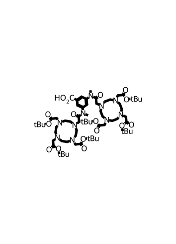 CN(C(=O)CN1CCN(CC(=O)OC(C)(C)C)CCN(CC(=O)OC(C)(C)C)CCN(CC(=O)OC(C)(C)C)CC1)c1cc(C(=O)O)cc(N(C)C(=O)CN2CCN(CC(=O)OC(C)(C)C)CCN(CC(=O)OC(C)(C)C)CCN(CC(=O)OC(C)(C)C)CC2)c1